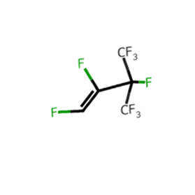 FC=C(F)C(F)(C(F)(F)F)C(F)(F)F